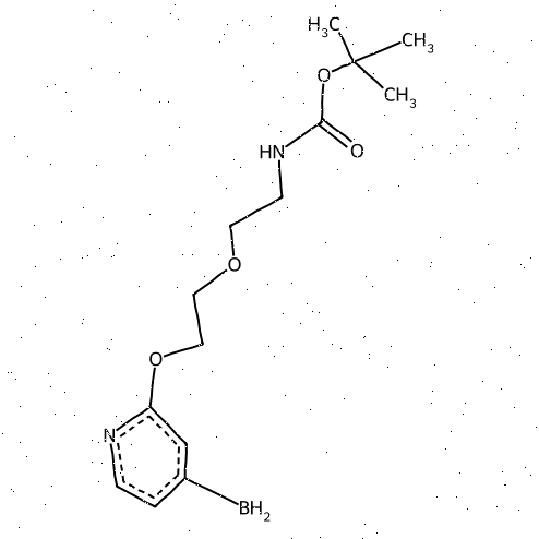 Bc1ccnc(OCCOCCNC(=O)OC(C)(C)C)c1